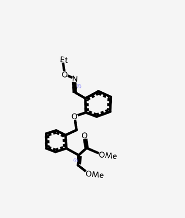 CCO/N=C/c1ccccc1OCc1ccccc1/C(=C/OC)C(=O)OC